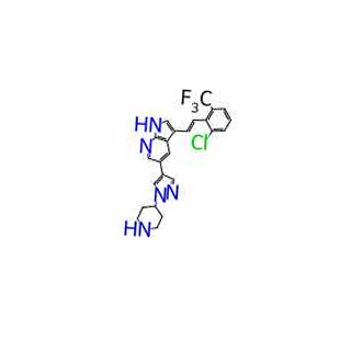 FC(F)(F)c1cccc(Cl)c1/C=C/c1c[nH]c2ncc(-c3cnn(C4CCNCC4)c3)cc12